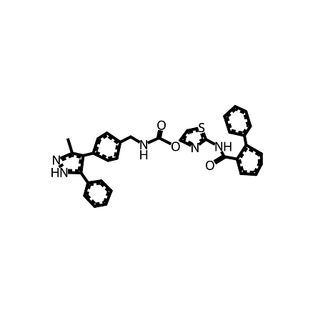 Cc1n[nH]c(-c2ccccc2)c1-c1ccc(CNC(=O)Oc2csc(NC(=O)c3ccccc3-c3ccccc3)n2)cc1